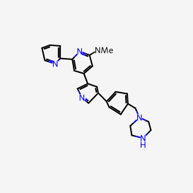 CNc1cc(-c2cncc(-c3ccc(CN4CCNCC4)cc3)c2)cc(-c2ccccn2)n1